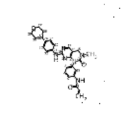 C=CC(=O)Nc1cccc(N2C(=O)N(C)Cc3cnc(Nc4ccc(N5CCOCC5)cc4)nc32)c1